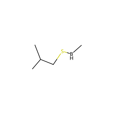 CBSCC(C)C